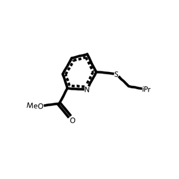 COC(=O)c1cccc(SCC(C)C)n1